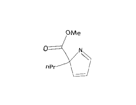 CCCC1(C(=O)OC)C=CC=N1